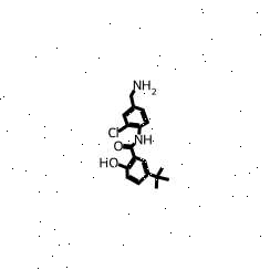 CC(C)(C)c1ccc(O)c(C(=O)Nc2ccc(CN)cc2Cl)c1